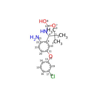 CC(C)(C)C(NC(=O)O)c1cc(Oc2cccc(Cl)c2)ccc1N